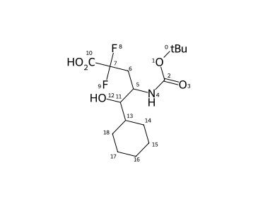 CC(C)(C)OC(=O)NC(CC(F)(F)C(=O)O)C(O)C1CCCCC1